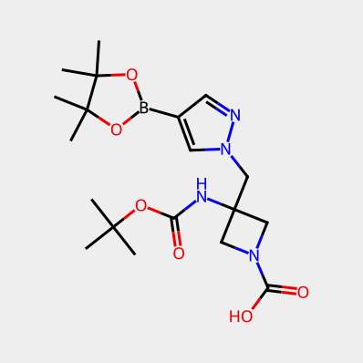 CC(C)(C)OC(=O)NC1(Cn2cc(B3OC(C)(C)C(C)(C)O3)cn2)CN(C(=O)O)C1